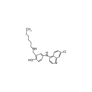 CCCCCCNCc1cc(Nc2ccnc3cc(Cl)ccc23)ccc1O